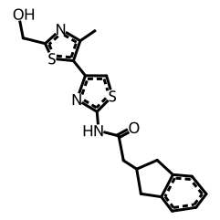 Cc1nc(CO)sc1-c1csc(NC(=O)CC2Cc3ccccc3C2)n1